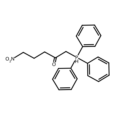 O=C(CCC[N+](=O)[O-])C[PH](c1ccccc1)(c1ccccc1)c1ccccc1